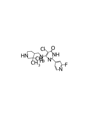 CC1(C)CNCCC1CNc1nc(-c2ccnc(F)c2)[nH]c(=O)c1Cl